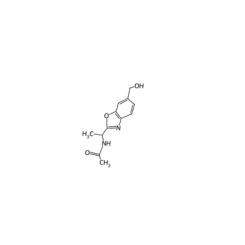 CC(=O)NC(C)c1nc2ccc(CO)cc2o1